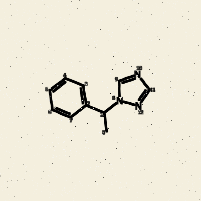 CC(c1ccccc1)n1cncn1